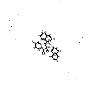 Cc1ccc(C(=O)P(=O)(Oc2cccc3ccccc23)Oc2cccc3ccccc23)cc1